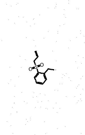 [CH2]Cc1ccccc1S(=O)(=O)CC=C